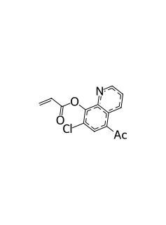 C=CC(=O)Oc1c(Cl)cc(C(C)=O)c2cccnc12